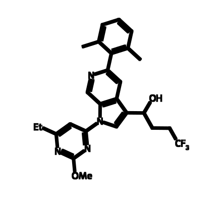 CCc1cc(-n2cc(C(O)CCC(F)(F)F)c3cc(-c4c(C)cccc4C)ncc32)nc(OC)n1